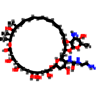 C[C@@H]1OC(=O)CC(O)CC(O)CCC(O)C(O)CC(O)CC2(O)C[C@H](O)C(NC(=O)NCCN)[C@H](CC(OC3O[C@H](C)[C@@H](O)[C@H](N)[C@@H]3O)/C=C/C=C/C=C/C=C/C=C/C=C/C=C/[C@H](C)C(O)[C@H]1C)O2